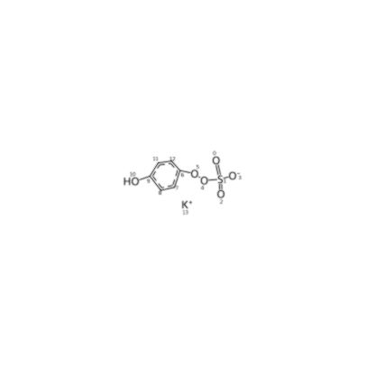 O=S(=O)([O-])OOc1ccc(O)cc1.[K+]